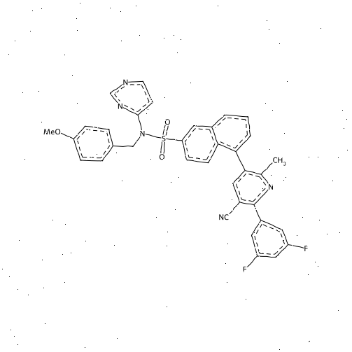 COc1ccc(CN(c2ccncn2)S(=O)(=O)c2ccc3c(-c4cc(C#N)c(-c5cc(F)cc(F)c5)nc4C)cccc3c2)cc1